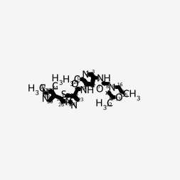 Cc1ncc(NC(=O)CN2C[C@H](C)O[C@@H](C)C2)cc1NC(=O)c1cnn2cc(-c3cnn(C)c3C)sc12